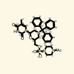 CC(=O)N1CCN(P(=O)(Cl)OCC2CN(C(c3ccccc3)(c3ccccc3)c3ccccc3)CC(n3cc(C)c(=O)[nH]c3=O)O2)CC1